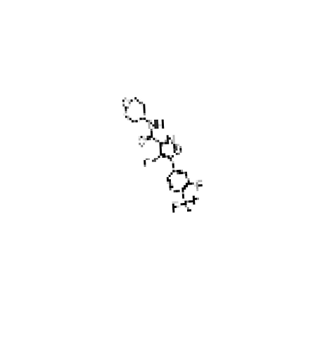 O=C(NC1CCOCC1)c1noc(-c2ccc(C(F)(F)F)c(F)c2)c1Cl